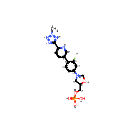 Cn1nnc(-c2ccc(-c3ccc(N4COC(COP(=O)(O)O)C4)cc3F)cn2)n1